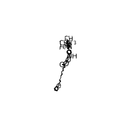 Cc1nn2nc(-c3ccc(NCOCOC(=O)CCCCCCCCCCOc4ccccc4)cc3)[nH]c2c1Cl